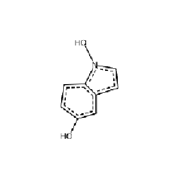 Oc1ccc2c(ccn2O)c1